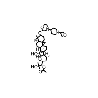 CC(=O)O[C@@H]([C@H]1C[C@@H](C)[C@H]2[C@H](O1)[C@H](O)[C@@]1(C)[C@@H]3CC[C@H]4C(C)(C)[C@@H](O[C@H]5CN(C6CCN(C7COC7)CC6)CCO5)CCC45C[C@@]35CC[C@]21C)C(C)(C)O